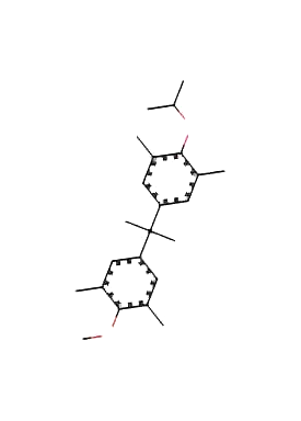 COc1c(C)cc(C(C)(C)c2cc(C)c(OC(C)C)c(C)c2)cc1C